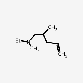 C=CCC(C)CN(C)CC